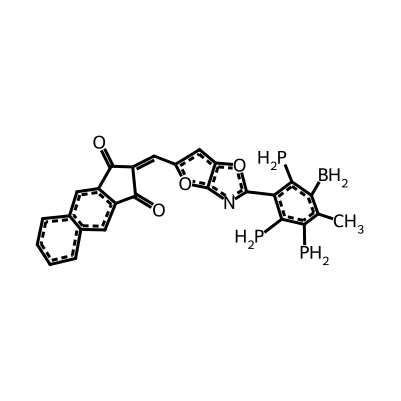 Bc1c(C)c(P)c(P)c(-c2nc3oc(C=C4C(=O)c5cc6ccccc6cc5C4=O)cc3o2)c1P